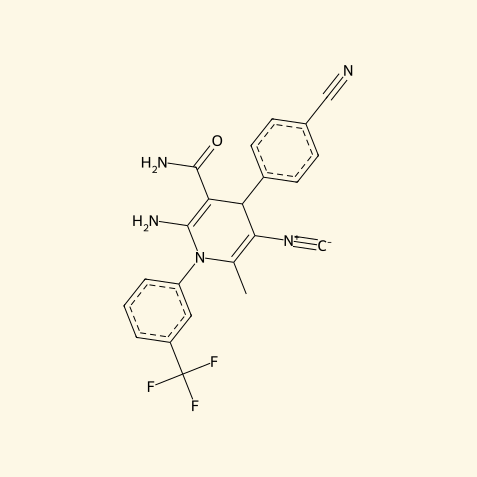 [C-]#[N+]C1=C(C)N(c2cccc(C(F)(F)F)c2)C(N)=C(C(N)=O)C1c1ccc(C#N)cc1